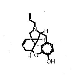 C=CCN1CC23C=CC[C@@H]4Oc5c(O)ccc6c5[C@]42[C@@H]3[C@H]1C6